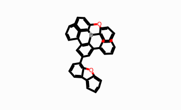 c1ccc(-c2cc(-c3cccc4c3oc3ccccc34)cc(-c3ccccc3)c2B2c3ccccc3Oc3ccccc32)cc1